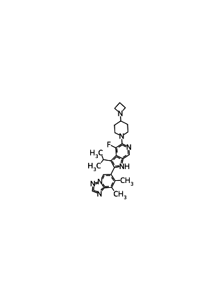 Cc1c(-c2[nH]c3cnc(N4CCC(N5CCC5)CC4)c(F)c3c2C(C)C)cn2ncnc2c1C